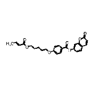 CC=CC(=O)OCCCCCOc1ccc(C(=O)Oc2ccc3ccc(=O)oc3c2)cc1